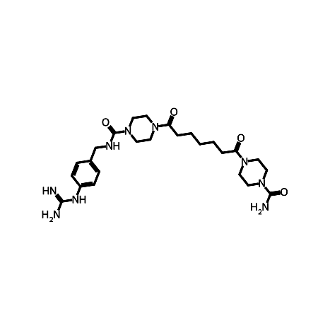 N=C(N)Nc1ccc(CNC(=O)N2CCN(C(=O)CCCCCC(=O)N3CCN(C(N)=O)CC3)CC2)cc1